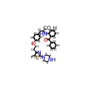 Cc1sc(N2CCNCC2)nc1CCOc1ccc(C[C@H](Nc2ccccc2C(=O)c2ccccc2)C(=O)O)cc1